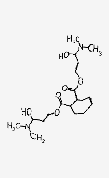 CN(C)C(O)CCOC(=O)C1CCCCC1C(=O)OCCC(O)N(C)C